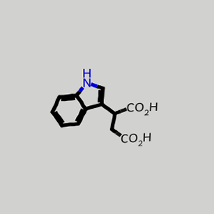 O=C(O)CC(C(=O)O)c1c[nH]c2ccccc12